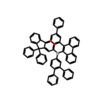 c1ccc(-c2cccc(-c3c(N(c4ccc(-c5ccccc5)c(-c5ccccc5)c4)c4ccc5c(c4)C(c4ccccc4)(c4ccccc4)c4ccccc4-5)c4ccccc4c4ccccc34)c2)cc1